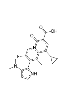 Cc1c(-c2[nH]ccc2N(C)C)c(F)cn2c(=O)c(C(=O)O)cc(C3CC3)c12